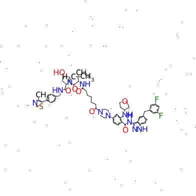 Cc1ncsc1-c1ccc(CNC(=O)C2CC(O)CN2C(=O)[C@@H](NC(=O)CCCCCC(=O)N2CCN(c3ccc(C(=O)Nc4n[nH]c5ccc(Cc6cc(F)cc(F)c6)cc45)c(NC4CCOCC4)c3)CC2)C(C)(C)C)cc1